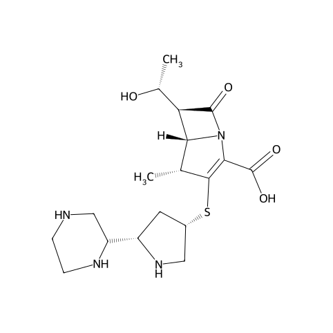 C[C@@H](O)[C@H]1C(=O)N2C(C(=O)O)=C(S[C@@H]3CN[C@H](C4CNCCN4)C3)[C@H](C)[C@H]12